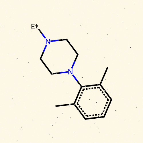 [CH2]CN1CCN(c2c(C)cccc2C)CC1